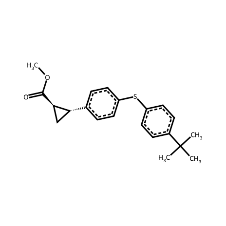 COC(=O)[C@@H]1C[C@H]1c1ccc(Sc2ccc(C(C)(C)C)cc2)cc1